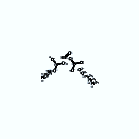 B=O.[O-2].[O-2].[O-]B([O-])[O-].[O-]B([O-])[O-].[Pb+2].[Pb+2].[Pb+2].[Pb+2].[Pb+2].[Si]